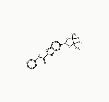 CC1(C)OB(c2ccc3nc(C(=O)Nc4ccccc4)cn3c2)OC1(C)C